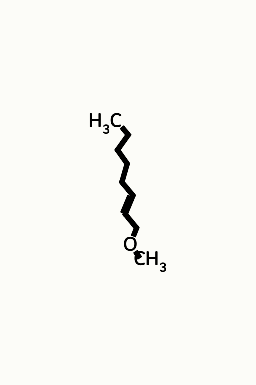 CCCCC/C=C/COC